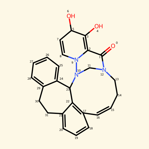 O=C1C2=C(O)C(O)C=CN2N2CN1CC/C=C\c1cccc3c1C2c1ccccc1CC3